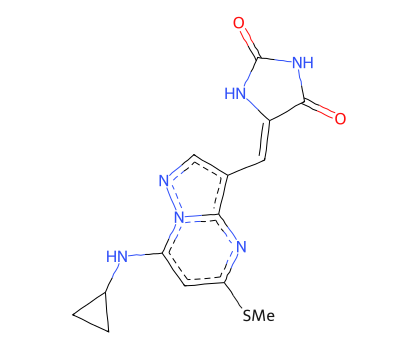 CSc1cc(NC2CC2)n2ncc(C=C3NC(=O)NC3=O)c2n1